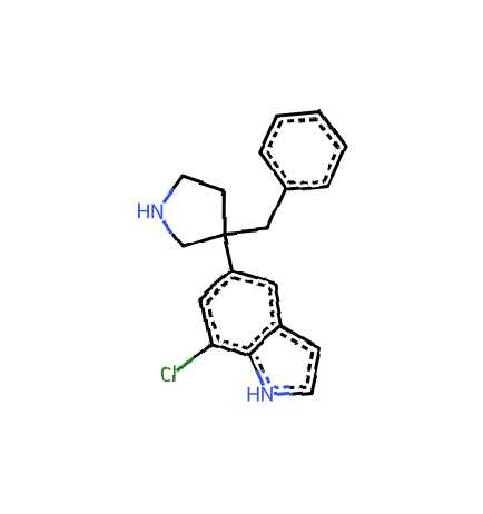 Clc1cc(C2(Cc3ccccc3)CCNC2)cc2cc[nH]c12